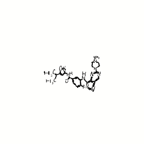 C=C(C)c1cc(NC(=O)c2ccc(F)c(Nc3ncnc4cnc(N5CCN(C(C)C)CC5)nc34)c2)no1